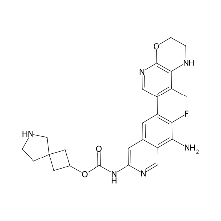 Cc1c(-c2cc3cc(NC(=O)OC4CC5(CCNC5)C4)ncc3c(N)c2F)cnc2c1NCCO2